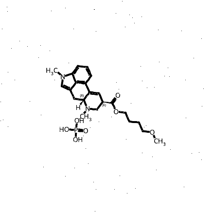 COCCCCOC(=O)[C@@H]1C=C2c3cccc4c3c(cn4C)C[C@H]2N(C)C1.O=P(O)(O)O